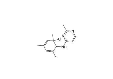 CC1=CC(C)(Cl)C(Nc2ccnc(C)n2)C(C)=C1